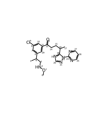 CONCC(C)c1cc(Cl)cc(C(=O)CCC(C)c2ncnn2-c2ncccn2)c1